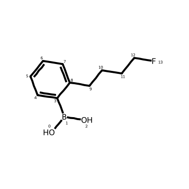 OB(O)c1ccccc1CCCCF